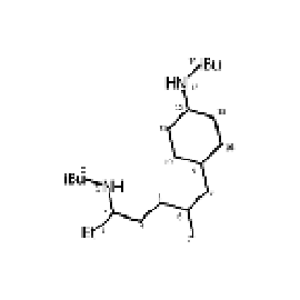 CCC(C)NC(CC)CCC(C)CC1CCC(NC(C)CC)CC1